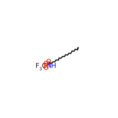 C=CCCCCCCCCCCCCCCCCC(=O)NS(=O)(=O)C(F)(F)F